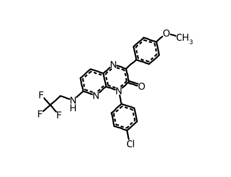 COc1ccc(-c2nc3ccc(NCC(F)(F)F)nc3n(-c3ccc(Cl)cc3)c2=O)cc1